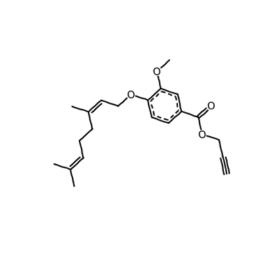 C#CCOC(=O)c1ccc(OCC=C(C)CCC=C(C)C)c(OC)c1